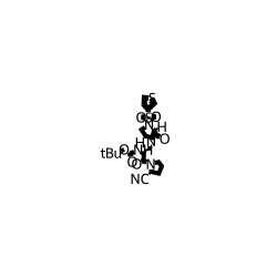 CC(C)(C)OC(=O)N[C@@H](CN1C(=O)[C@@H]2C[C@H]1CN2S(=O)(=O)c1ccsc1)C(=O)N1CCC[C@H]1C#N